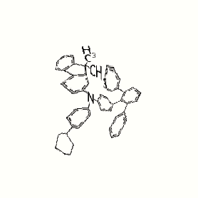 CC1(C)c2ccccc2-c2ccc(N(c3ccc(-c4c(-c5ccccc5)cccc4-c4ccccc4)cc3)c3ccc(C4CCCCC4)cc3)cc21